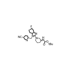 CC(C)(C)OC(=O)N[C@H]1CCCN(c2nc3cc(F)ccc3n2Cc2ccc(C#N)cn2)C1